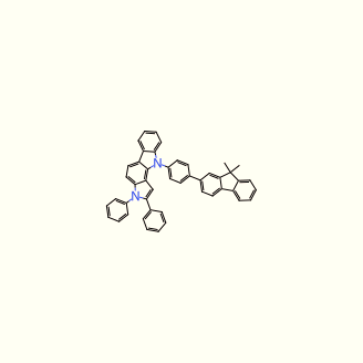 CC1(C)c2ccccc2-c2ccc(-c3ccc(-n4c5ccccc5c5ccc6c(cc(-c7ccccc7)n6-c6ccccc6)c54)cc3)cc21